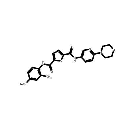 COc1ccc(NC(=O)c2ccc(C(=O)Nc3ccc(N4CCOCC4)nc3)s2)c(C)c1